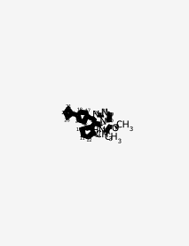 COCC(C)Nc1c(-c2ccccc2C)c(-c2ccc([C]3CCC3)cc2)nc2nccn12